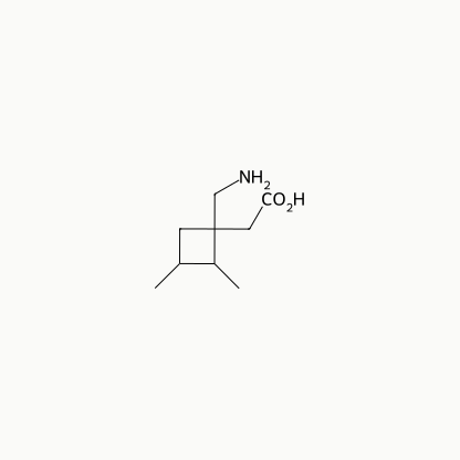 CC1CC(CN)(CC(=O)O)C1C